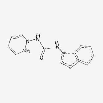 O=C(NN1C=CC=CN1)Nn1ccc2ccccc21